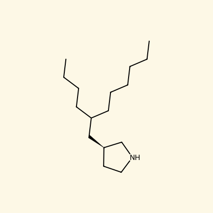 CCCCCCC(CCCC)C[C@@H]1CCNC1